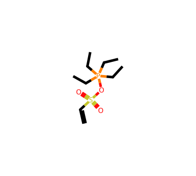 C=CS(=O)(=O)OP(CC)(CC)(CC)CC